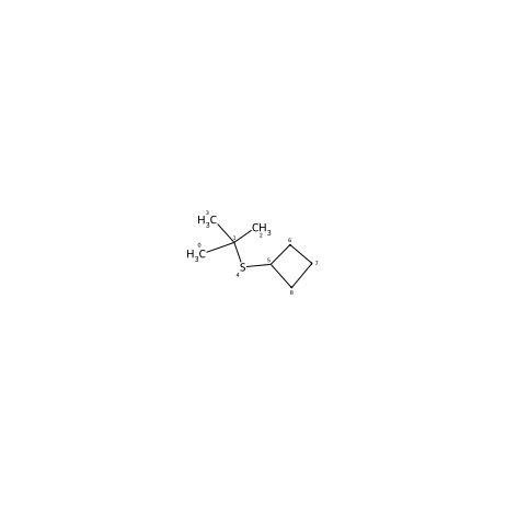 CC(C)(C)SC1CCC1